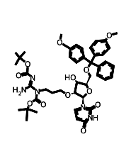 COc1ccc(C(OC[C@H]2O[C@@H](n3ccc(=O)[nH]c3=O)[C@H](OCCCN(C(=O)OC(C)(C)C)C(N)=NC(=O)OC(C)(C)C)[C@@H]2O)(c2ccccc2)c2ccc(OC)cc2)cc1